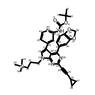 CC(C)(C)OC(=O)Nc1cc(-c2cn(CCC[Si](C)(C)C)c3nc(C#CC4CC4)nc(-c4ccc5c(c4)OCO5)c23)ccn1